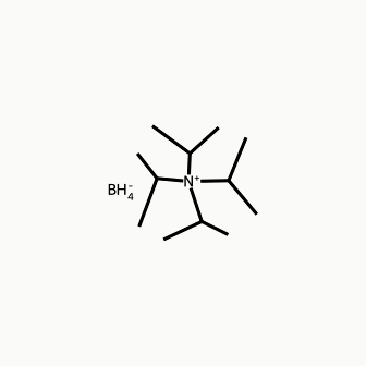 CC(C)[N+](C(C)C)(C(C)C)C(C)C.[BH4-]